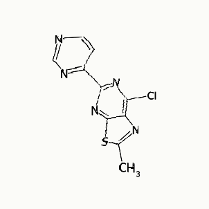 Cc1nc2c(Cl)nc(-c3ccncn3)nc2s1